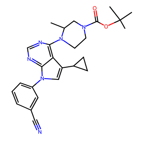 CC1CN(C(=O)OC(C)(C)C)CCN1c1ncnc2c1c(C1CC1)cn2-c1cccc(C#N)c1